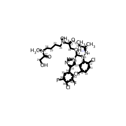 CN/C(C)=N\N(c1cc(Cl)ccc1Cl)C(OCC(=O)N(C)CCCCN(C)C(=O)CO)n1cc(-c2cc(F)c(Cl)c(F)c2)nn1